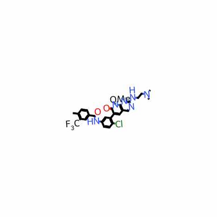 COn1c(=O)c(-c2cc(NC(=O)c3ccc(C)c(C(F)(F)F)c3)ccc2Cl)cc2cnc(NCCN(C)C)nc21